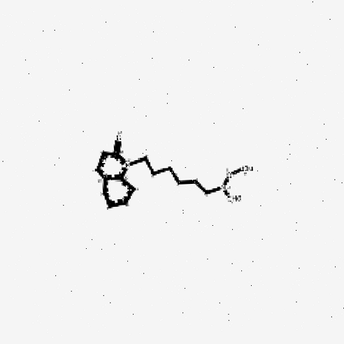 CC(C)(C)ON(C=O)CCCCCCn1c(=O)ccc2ccccc21